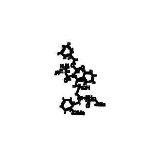 COc1ccccc1CN(CC(O)CC(c1ccccc1)N(C(=O)OCc1ccccn1)C(=O)[C@@H](N)C(C)C)NC(=O)OC(C)(C)C